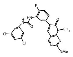 CNc1ncc2cc(-c3ccc(F)c(NC(=O)Nc4cc(Cl)cc(Cl)c4)c3)c(=O)n(C)c2n1